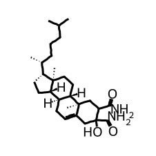 CC(C)CCC[C@@H](C)[C@H]1CC[C@H]2[C@@H]3CC=C4CC(O)(C(N)=O)C(C(N)=O)C[C@]4(C)[C@H]3CC[C@]12C